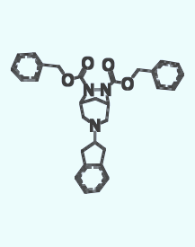 O=C(OCc1ccccc1)N1C2CC(CN(C3Cc4ccccc4C3)C2)N1C(=O)OCc1ccccc1